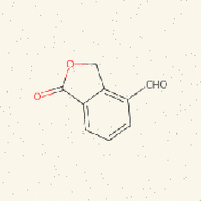 O=Cc1cccc2c1COC2=O